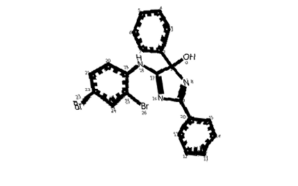 OC1(c2ccccc2)N=C(c2ccccc2)N=C1Nc1ccc(Br)cc1Br